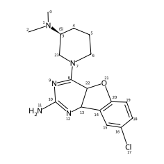 CN(C)[C@H]1CCCN(C2=NC(N)=NC3c4cc(Cl)ccc4OC23)C1